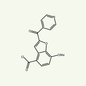 COc1ccc(C(=O)Cl)c2cc(C(=O)c3ccncc3)oc12